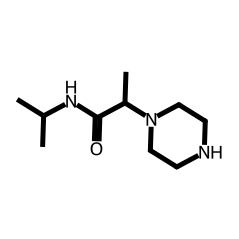 CC(C)NC(=O)C(C)N1CCNCC1